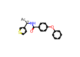 CC(=O)[C@@H](NC(=O)c1ccc(Oc2ccccc2)cc1)c1ccsc1